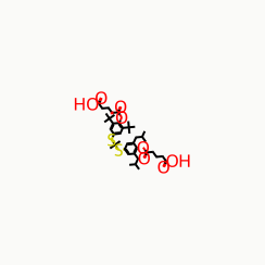 CC(C)Cc1cc(SC(C)(C)Sc2cc(C(C)(C)C)c(OC(=O)CCCC(=O)O)c(C(C)(C)C)c2)cc(CC(C)C)c1OC(=O)CCCC(=O)O